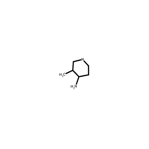 CC1C[N]CCC1N